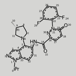 CC(C)n1ncc2c(N3CC[C@@H](C)C3)c(NC(=O)c3ccc(=O)n(-c4c(F)cccc4F)n3)ccc21